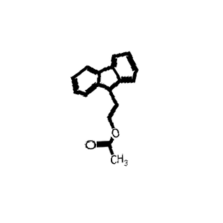 CC(=O)OCCC1c2ccccc2-c2ccccc21